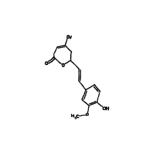 COc1cc(/C=C/C2CC(O)=CC(=O)O2)ccc1O